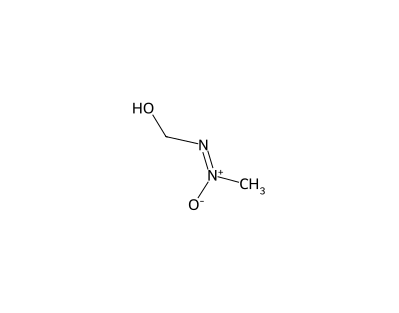 C[N+]([O-])=NCO